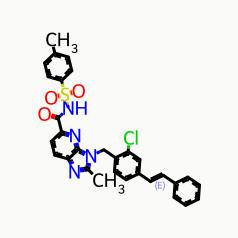 Cc1ccc(S(=O)(=O)NC(=O)c2ccc3nc(C)n(Cc4ccc(/C=C/c5ccccc5)cc4Cl)c3n2)cc1